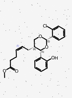 COC(=O)CC/C=C\C[C@@H]1CO[C@H](c2ccccc2Cl)O[C@@H]1c1ccccc1O